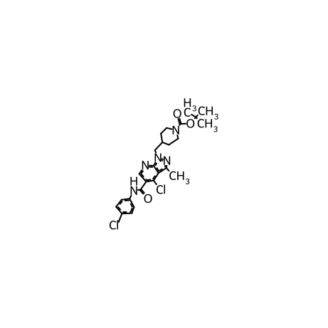 Cc1nn(CC2CCN(C(=O)OC(C)(C)C)CC2)c2ncc(C(=O)Nc3ccc(Cl)cc3)c(Cl)c12